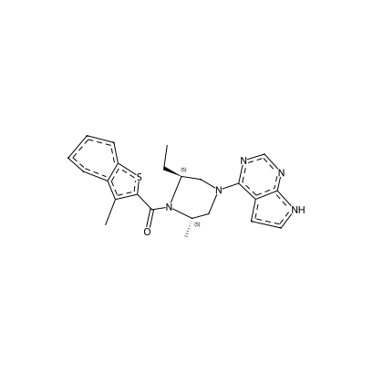 CC[C@H]1CN(c2ncnc3[nH]ccc23)C[C@H](C)N1C(=O)c1sc2ccccc2c1C